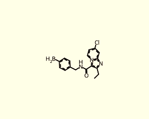 Bc1ccc(CNC(=O)c2c(CC)nc3cc(Cl)ccn23)cc1